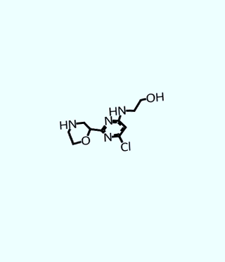 OCCNc1cc(Cl)nc(C2CNCCO2)n1